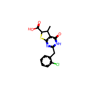 CC1c2c(nc(Cc3ccccc3Cl)[nH]c2=O)SC1C(=O)O